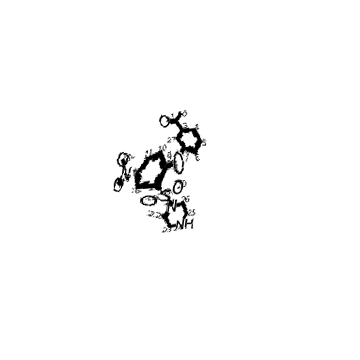 CC(=O)c1cccc(Oc2ccc([N+](=O)[O-])cc2S(=O)(=O)N2CCNCC2)c1